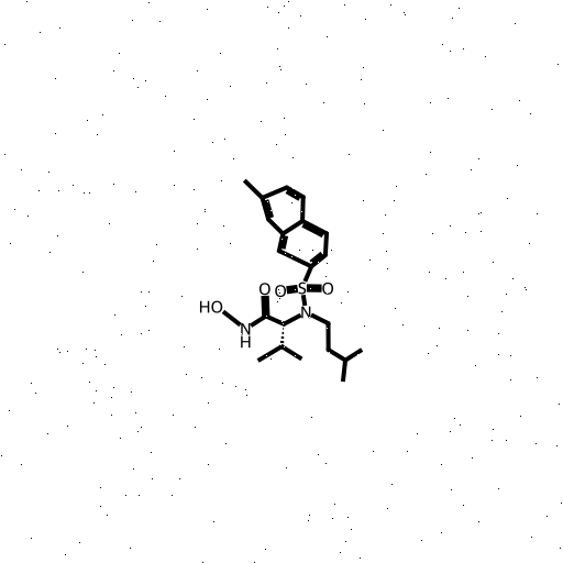 Cc1ccc2ccc(S(=O)(=O)N(CCC(C)C)[C@@H](C(=O)NO)C(C)C)cc2c1